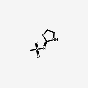 CS(=O)(=O)N=C1NCCS1